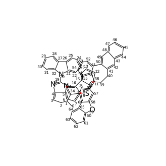 CC1C/C=C(c2ccc3sc4ccccc4c3c2)/N=C(n2c3ccccc3c3ccccc32)\N=C/1c1cc([C@@H]2CCc3cc4ccccc4cc3-c3ccccc32)cc2oc3ccccc3c12